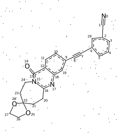 N#Cc1cccc(C#Cc2ccc3c(=O)n4c(nc3c2)CCC2(CC4)OCCO2)c1